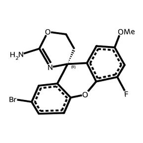 COc1cc(F)c2c(c1)[C@@]1(CCOC(N)=N1)c1cc(Br)ccc1O2